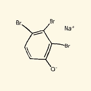 [Na+].[O-]c1ccc(Br)c(Br)c1Br